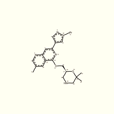 Cc1cnc2cc(-c3cnn(C(C)C)c3)nc(OC[C@@H]3CNCC(C)(C)O3)c2c1